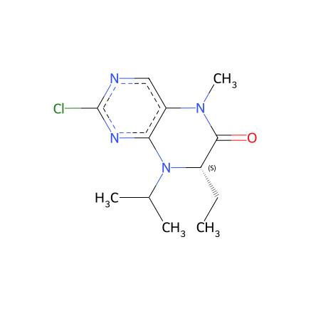 CC[C@H]1C(=O)N(C)c2cnc(Cl)nc2N1C(C)C